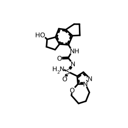 NS(=O)(=NC(=O)Nc1c2c(cc3c1CCC3O)CCC2)c1cnn2c1OCCCC2